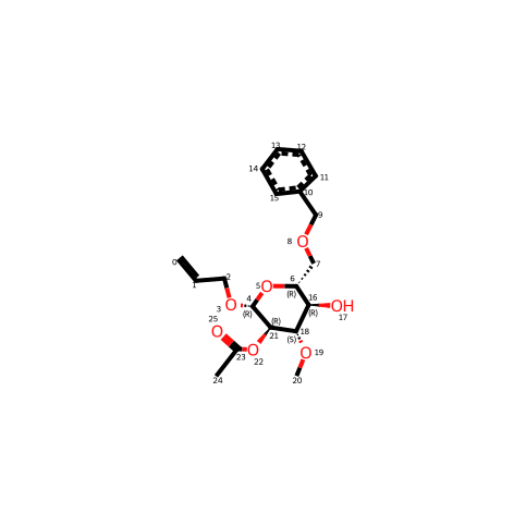 C=CCO[C@@H]1O[C@H](COCc2ccccc2)[C@@H](O)[C@H](OC)[C@H]1OC(C)=O